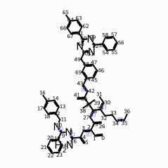 C=C/C(=C\C(=C)/C(N)=N/C(=N\Cc1ccc(C)cc1)c1ccccc1)C(=C)/C=C(\C(=C/C)CC/C=C\C)C(C)(C)C(=C)/C=C/c1cccc(Cc2nc(-c3ccccc3)nc(-c3ccc(C)cc3)n2)c1